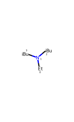 [CH2]CN(C(C)CC)C(C)CC